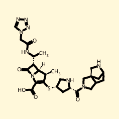 CC(NC(=O)Cn1cnnn1)[C@H]1C(=O)N2C(C(=O)O)=C(S[C@@H]3CN[C@H](C(=O)N4CC5CC6C[C@@]5(CN6)C4)C3)[C@H](C)[C@H]12